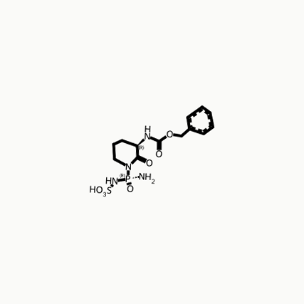 N[P@](=O)(NS(=O)(=O)O)N1CCC[C@@H](NC(=O)OCc2ccccc2)C1=O